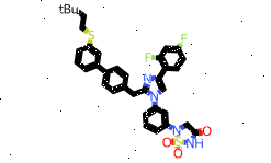 CC(C)(C)CCSc1cccc(-c2ccc(Cc3nc(-c4ccc(F)cc4F)cn3-c3cccc(N4CC(=O)NS4(=O)=O)c3)cc2)c1